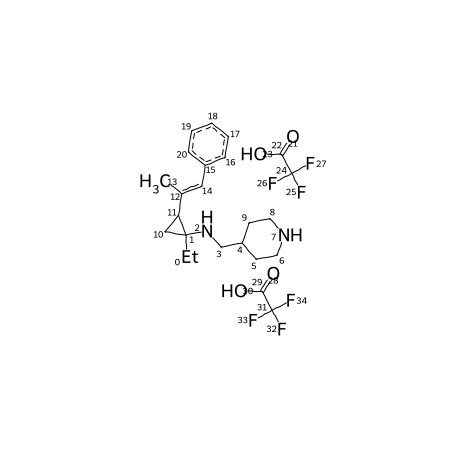 CCC1(NCC2CCNCC2)CC1C(C)=Cc1ccccc1.O=C(O)C(F)(F)F.O=C(O)C(F)(F)F